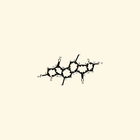 Cc1cc2c(cc(C)c3c4sc(F)cc4c(=O)c23)c2c(=O)c3cc(F)sc3c12